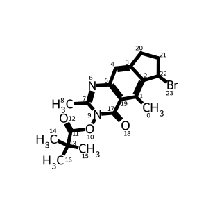 Cc1c2c(cc3nc(C)n(OC(=O)C(C)(C)C)c(=O)c13)CCC2Br